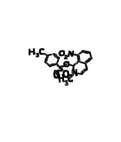 Cc1ccc(S(=O)(=O)OC2c3c(cccc3[N+](=O)[O-])C=CN2C)cc1